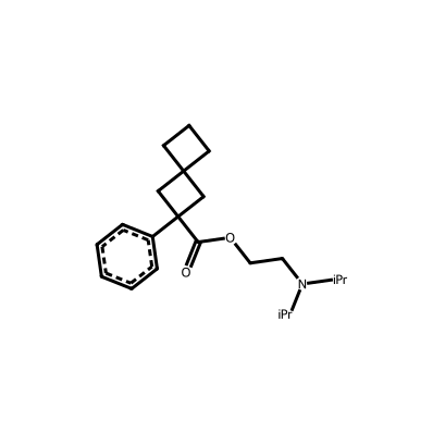 CC(C)N(CCOC(=O)C1(c2ccccc2)CC2(CCC2)C1)C(C)C